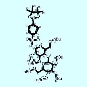 CCCCOCC1O[C@@H](O[C@@H]2C(COCCCC)O[C@@H](CS(=O)(=O)c3ccc(B4OC(C)(C)C(C)(C)O4)cc3)[C@@H](OCCCC)C2OCCCC)[C@@H](OCCCC)C(OCCCC)[C@@H]1OCCCC